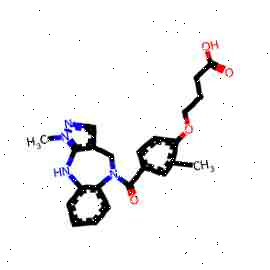 Cc1cc(C(=O)N2Cc3cnn(C)c3Nc3ccccc32)ccc1OCCCC(=O)O